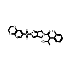 CC(O)C(C(=O)N1Cc2cn(S(=O)(=O)c3cnc4c(c3)OCCO4)nc2C1)c1ccccc1Cl